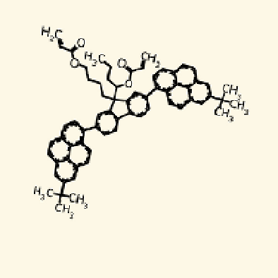 C=CC(=O)OCCCCC1(C(CCC)OC(=O)C=C)c2cc(-c3ccc4ccc5cc(C(C)(C)C)cc6ccc3c4c56)ccc2-c2ccc(-c3ccc4ccc5cc(C(C)(C)C)cc6ccc3c4c56)cc21